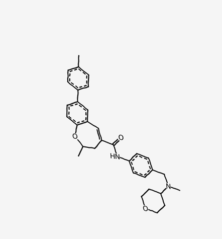 Cc1ccc(-c2ccc3c(c2)C=C(C(=O)Nc2ccc(CN(C)C4CCOCC4)cc2)CC(C)O3)cc1